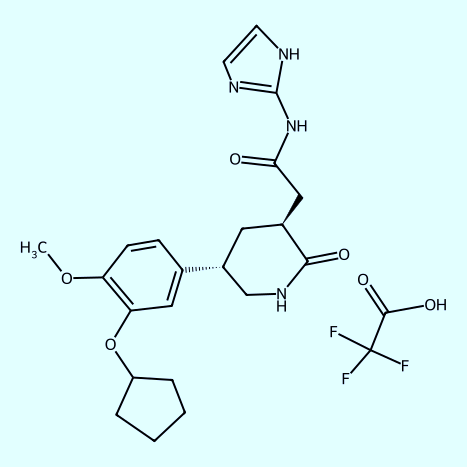 COc1ccc([C@H]2CNC(=O)[C@H](CC(=O)Nc3ncc[nH]3)C2)cc1OC1CCCC1.O=C(O)C(F)(F)F